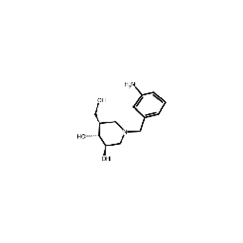 Nc1cccc(CN2C[C@H](CO)[C@@H](O)[C@H](O)C2)c1